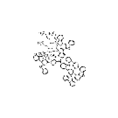 CCCCCCCC1(CCCCCCC)c2cc(N(c3ccc4c(c3)C(C)(C)c3c5c(c6oc7ccccc7c6c3-4)-c3ccccc3C5(C)C)c3ccc4c(c3)C3(c5ccccc5-c5ccccc53)c3cc5c(cc3-4)C3(c4ccccc4-c4ccccc43)c3ccc4oc6ccccc6c4c3-5)ccc2-c2c1c1c(c3c2oc2ccccc23)-c2ccccc2C1(CCCCCCC)CCCCCCC